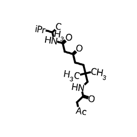 CC(=O)CC(=O)NCC(C)(C)CCC(=O)CC(=O)NC(C)C(C)C